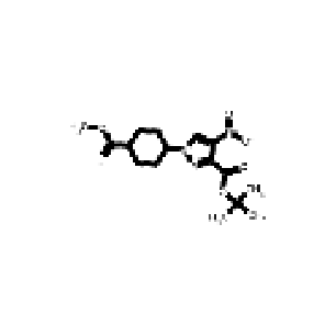 COC(=O)C1CCC(n2cc([N+](=O)[O-])c(C(=O)OC(C)(C)C)n2)CC1